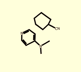 CN(C)c1ccncc1.N#CC1CCCCC1